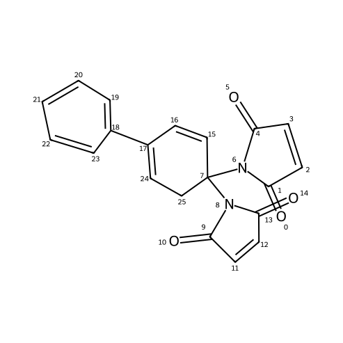 O=C1C=CC(=O)N1C1(N2C(=O)C=CC2=O)C=CC(c2ccccc2)=CC1